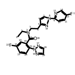 CCN(CCc1ccn(-c2ccc(F)cn2)n1)C(=O)c1cc(F)ccc1-n1nccn1